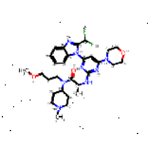 COCCCN(C(=O)[C@H](C)Nc1nc(N2CCOCC2)cc(-n2c(C(F)F)nc3ccccc32)n1)C1CCN(C)CC1